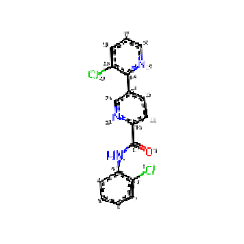 O=C(Nc1ccccc1Cl)c1ccc(-c2ncccc2Cl)cn1